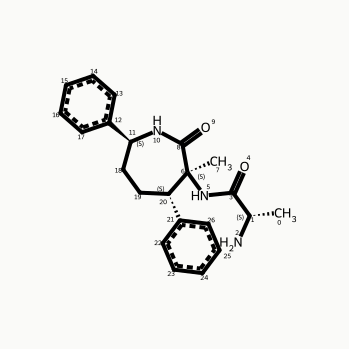 C[C@H](N)C(=O)N[C@]1(C)C(=O)N[C@H](c2ccccc2)CC[C@H]1c1ccccc1